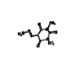 CN1C(=O)C(C=NN)C(=O)N(C)C1=O